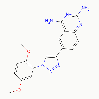 COc1ccc(OC)c(-n2cc(-c3ccc4nc(N)nc(N)c4c3)nn2)c1